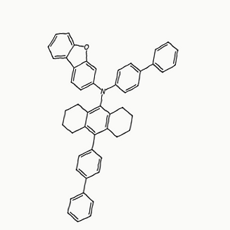 c1ccc(-c2ccc(-c3c4c(c(N(c5ccc(-c6ccccc6)cc5)c5ccc6c(c5)oc5ccccc56)c5c3CCCC5)CCCC4)cc2)cc1